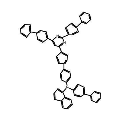 c1ccc(-c2ccc(-c3cc(-c4ccc(-c5ccc(N(c6ccc(-c7ccccc7)cc6)c6cccc7ccccc67)cc5)cc4)nc(-c4ccc(-c5ccccc5)cc4)n3)cc2)cc1